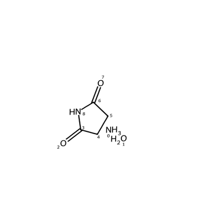 N.O.O=C1CCC(=O)N1